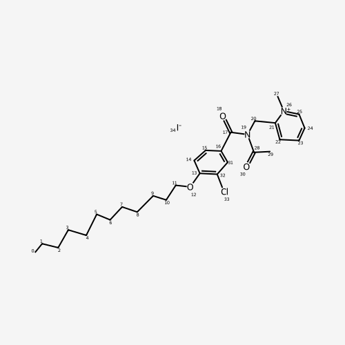 CCCCCCCCCCCCOc1ccc(C(=O)N(Cc2cccc[n+]2C)C(C)=O)cc1Cl.[I-]